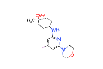 C[C@]1(O)CC[C@@H](Nc2cc(I)cc(N3CCOCC3)n2)CC1